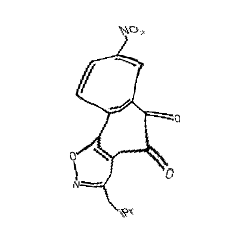 CC(C)c1noc2c1C(=O)C(=O)c1cc([N+](=O)[O-])ccc1-2